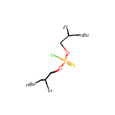 CCCCC(CC)COP(=S)(Cl)OCC(CC)CCCC